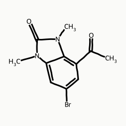 CC(=O)c1cc(Br)cc2c1n(C)c(=O)n2C